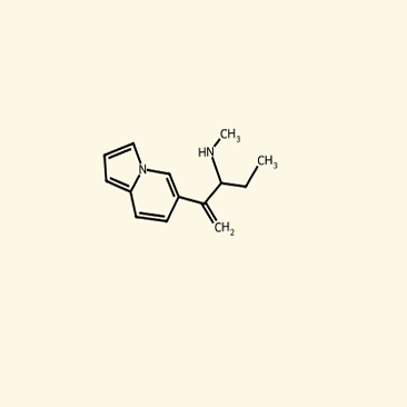 C=C(c1ccc2cccn2c1)C(CC)NC